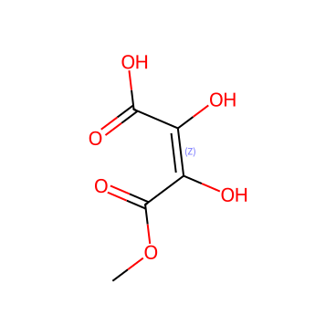 COC(=O)/C(O)=C(/O)C(=O)O